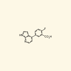 O=C(O)c1cc(-c2ccnc3[nH]ccc23)ccc1F